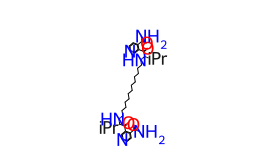 CC(C)C(NCCCCCCCCCCCCCNC(C(=O)c1cnccc1C(N)=O)C(C)C)C(=O)c1cnccc1C(N)=O